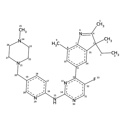 CCC1(C)C(C)=Nc2c(C)cc(-c3nc(Nc4ccc(CN5CCN(C)CC5)cn4)ncc3F)cc21